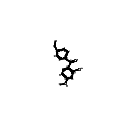 CCc1ccc(C(=O)c2ccc(OC)cc2Cl)cc1